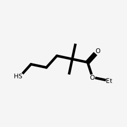 CCOC(=O)C(C)(C)CCCS